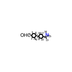 Cc1cc(C=O)ccc1-c1ccc(C(C)N(C)C)cc1